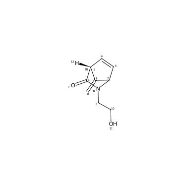 C=C1C2C=C[C@H]1C(=O)N2CCO